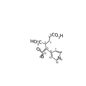 O=C(O)CCC(C(=O)O)C(c1ccncc1)=S(=O)=O